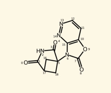 O=C1NC(=O)C2(n3c(=O)oc4ccnnc43)CC1C2